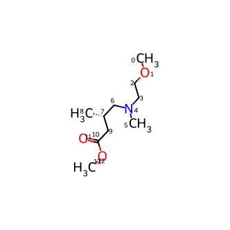 COCCN(C)C[C@@H](C)CC(=O)OC